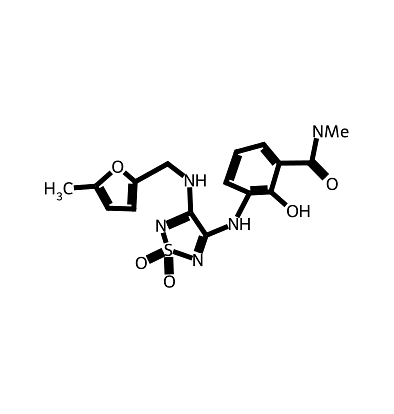 CNC(=O)c1cccc(NC2=NS(=O)(=O)N=C2NCc2ccc(C)o2)c1O